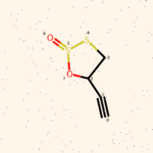 C#CC1CSS(=O)O1